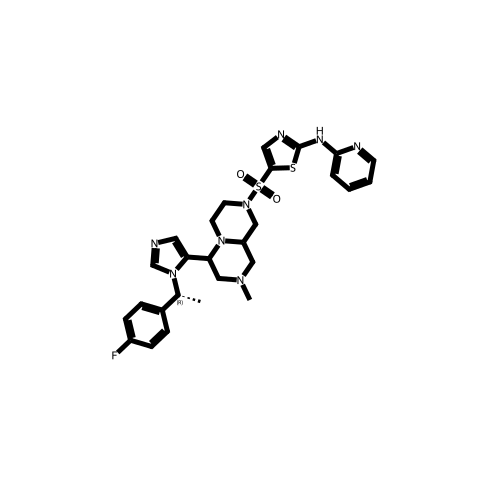 C[C@H](c1ccc(F)cc1)n1cncc1C1CN(C)CC2CN(S(=O)(=O)c3cnc(Nc4ccccn4)s3)CCN21